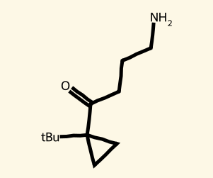 CC(C)(C)C1(C(=O)CCCN)CC1